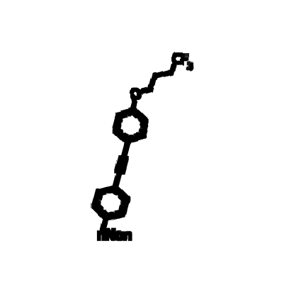 CCCCCCCCCc1ccc(C#Cc2ccc(OCCCC(F)(F)F)cc2)cc1